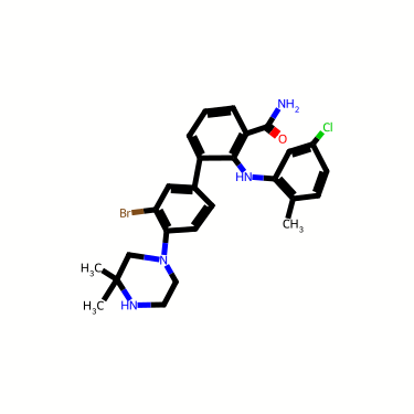 Cc1ccc(Cl)cc1Nc1c(C(N)=O)cccc1-c1ccc(N2CCNC(C)(C)C2)c(Br)c1